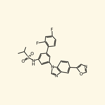 CC(C)S(=O)(=O)Nc1cc(-c2ccc(F)cc2F)cc(-n2cnc3cc(-c4cnco4)ccc32)c1